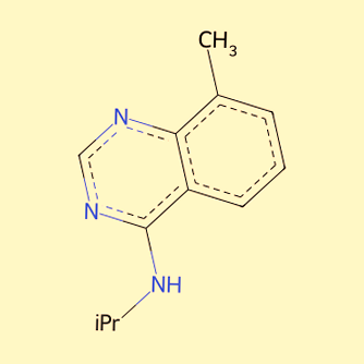 Cc1cccc2c(NC(C)C)ncnc12